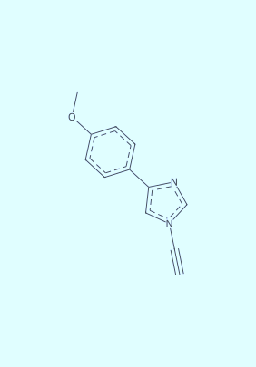 C#Cn1cnc(-c2ccc(OC)cc2)c1